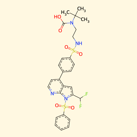 CC(C)(C)N(CCNS(=O)(=O)c1ccc(-c2ccnc3c2cc(C(F)F)n3S(=O)(=O)c2ccccc2)cc1)C(=O)O